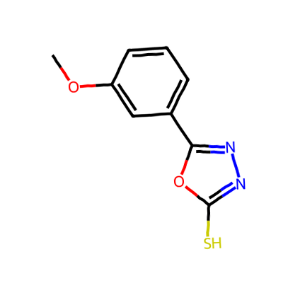 COc1cccc(-c2nnc(S)o2)c1